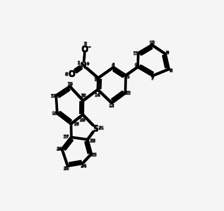 O=[N+]([O-])c1cc(-c2ccccc2)ccc1-c1cccc2c1sc1ccccc12